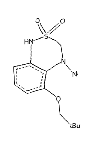 CC(C)(C)COc1cccc2c1N([N])CS(=O)(=O)N2